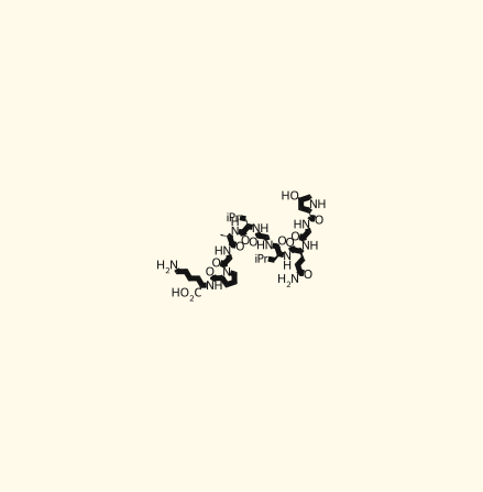 CC(C)C[C@H](NC(=O)CNC(=O)[C@H](CC(C)C)NC(=O)[C@H](CCC(N)=O)NC(=O)CNC(=O)[C@@H]1C[C@H](O)CN1)C(=O)N[C@@H](C)C(=O)NCC(=O)N1CCCC1C(=O)N[C@@H](CCCCN)C(=O)O